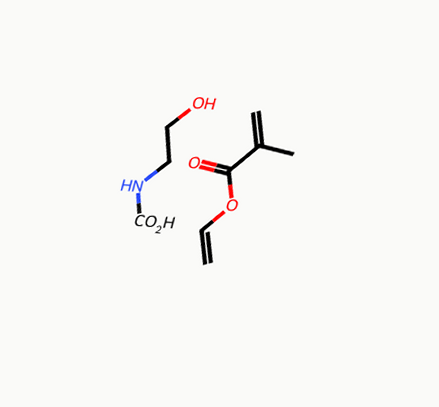 C=COC(=O)C(=C)C.O=C(O)NCCO